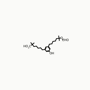 CC(C)(CCCCCc1cc(O)cc(CCCCCC(C)(C)C(=O)O)c1)OC=O